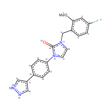 COc1cc(F)ccc1Cn1ccn(-c2ccc(-c3cn[nH]c3)cc2)c1=O